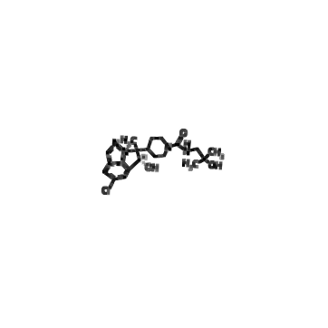 CC(C)(O)CNC(=O)N1CCC(C2(C)[C@H](O)c3cc(Cl)cc4cnn2c34)CC1